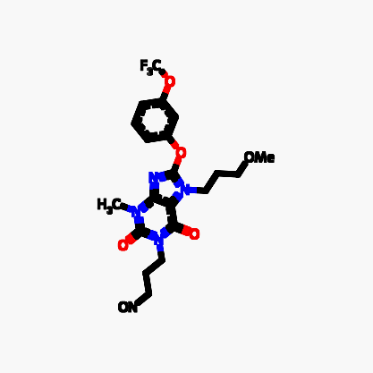 COCCCn1c(Oc2cccc(OC(F)(F)F)c2)nc2c1c(=O)n(CCCN=O)c(=O)n2C